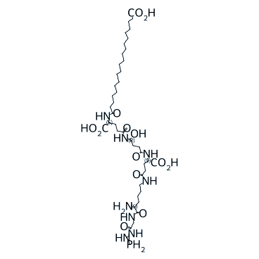 N[C@@H](CCCCNC(=O)CC[C@H](NC(=O)CC[C@@H](O)NC(=O)CC[C@H](NC(=O)CCCCCCCCCCCCCCCCCCC(=O)O)C(=O)O)C(=O)O)C(=O)NCC(=O)NNP